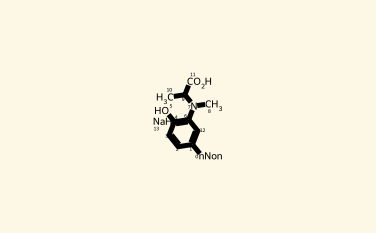 CCCCCCCCCc1ccc(O)c(N(C)C(C)C(=O)O)c1.[NaH]